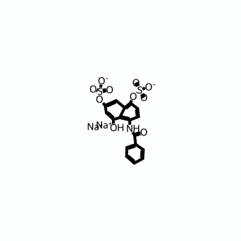 O=C(Nc1ccc(OS(=O)(=O)[O-])c2cc(OS(=O)(=O)[O-])cc(O)c12)c1ccccc1.[Na+].[Na+]